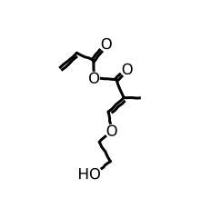 C=CC(=O)OC(=O)C(C)=COCCO